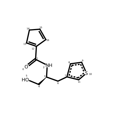 O=C(N[C@H](CO)Cc1ccsc1)C1=CCC=C1